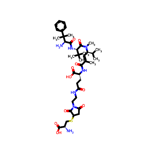 C/C(=C\[C@H](C(C)C)N(C)C(=O)[C@@H](NC(=O)[C@@H](N)C(C)(C)c1ccccc1)C(C)(C)C)C(=O)N[C@H](CCC(=O)NCCN1C(=O)CC(SC[C@H](N)C(=O)O)C1=O)C(=O)O